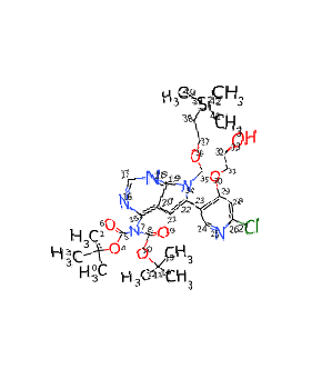 CC(C)(C)OC(=O)N(C(=O)OC(C)(C)C)c1ncnc2c1cc(-c1cnc(Cl)cc1OCCO)n2COCC[Si](C)(C)C